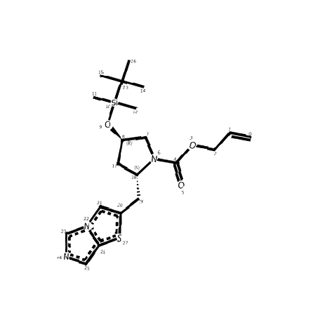 C=CCOC(=O)N1C[C@H](O[Si](C)(C)C(C)(C)C)C[C@H]1Cc1cn2cncc2s1